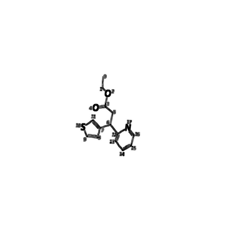 CCOC(=O)CC(c1ccsc1)c1ccccn1